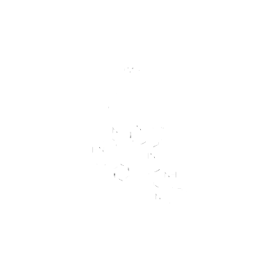 CCCCC(NC(=O)CNC(=O)C(=O)C(CCC)NC(=O)C1C[C@@H](OCOCCOC)CN1C(=O)C(NCC1(c2ccccc2)CC1)C1CCCCC1)C(N)=O